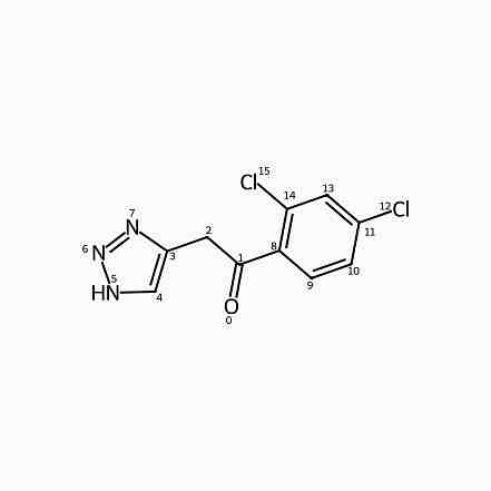 O=C(Cc1c[nH]nn1)c1ccc(Cl)cc1Cl